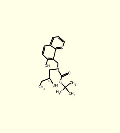 CC[C@H](O)CN(Cc1c(O)ccc2cccnc12)C(=O)OC(C)(C)C